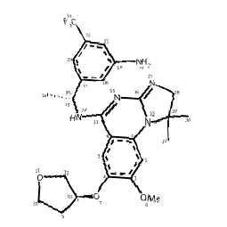 COc1cc2c(cc1O[C@H]1CCOC1)C(N[C@H](C)c1cc(N)cc(C(F)(F)F)c1)=NC1=NCC(C)(C)N12